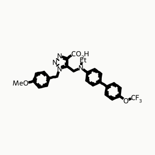 CCN(Cc1c(C(=O)O)nnn1Cc1ccc(OC)cc1)c1ccc(-c2ccc(OC(F)(F)F)cc2)cc1